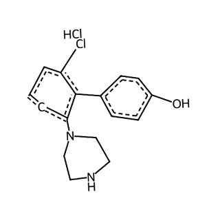 Cl.Oc1ccc(-c2c(Cl)cccc2N2CCNCC2)cc1